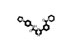 O=C(Nc1ccc(N2CCCC2)cc1)c1cncc(-c2cccc(C(=O)N3CCCCC3)c2)n1